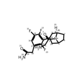 NCC(=O)N1C2CC[C@@H]1CC(c1c(F)c(F)cc(CC(N)=O)c1F)C2